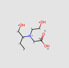 CCC(CO)N(CCO)CC(=O)O